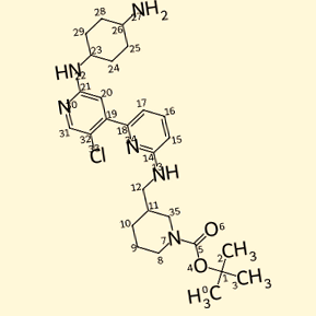 CC(C)(C)OC(=O)N1CCCC(CNc2cccc(-c3cc(NC4CCC(N)CC4)ncc3Cl)n2)C1